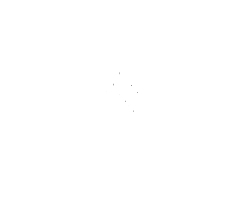 C[C@@H]1CC(O)CCN1c1cnc(-c2ccccc2)c(-c2ccccc2)n1